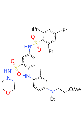 CCN(CCOC)c1ccc(Nc2ccc(NS(=O)(=O)c3c(C(C)C)cc(C(C)C)cc3C(C)C)cc2S(=O)(=O)NN2CCOCC2)c(C)c1